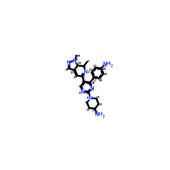 CC1N=C(c2cnc(N3CCC(N)CC3)nc2-c2ccc(N)cc2)C=C2C=NN(C)C21